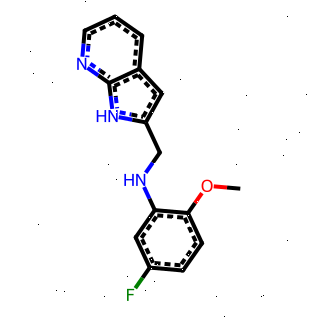 COc1ccc(F)cc1NCc1cc2cccnc2[nH]1